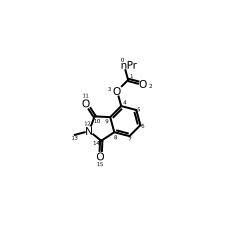 CCCC(=O)Oc1cccc2c1C(=O)N(C)C2=O